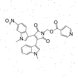 Cn1cc(C2=C(c3cn(C)c4cc([N+](=O)[O-])ccc34)C(=O)N(COC(=O)c3ccncc3)C2=O)c2ccccc21